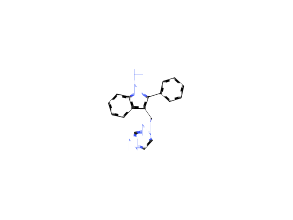 c1ccc(-c2[nH]c3ccccc3c2Cn2ccnc2)cc1